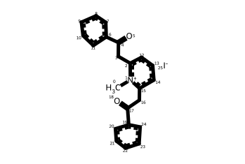 C[n+]1c(CC(=O)c2ccccc2)cccc1CC(=O)c1ccccc1.[I-]